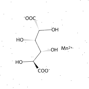 O=C([O-])[C@@H](O)[C@@H](O)[C@H](O)[C@@H](O)C(=O)[O-].[Mn+2]